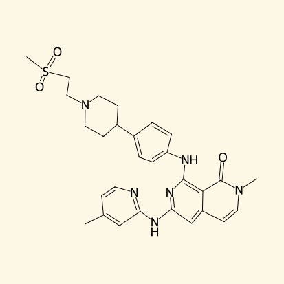 Cc1ccnc(Nc2cc3ccn(C)c(=O)c3c(Nc3ccc(C4CCN(CCS(C)(=O)=O)CC4)cc3)n2)c1